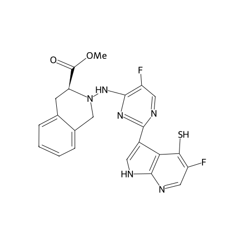 COC(=O)[C@@H]1Cc2ccccc2CN1Nc1nc(-c2c[nH]c3ncc(F)c(S)c23)ncc1F